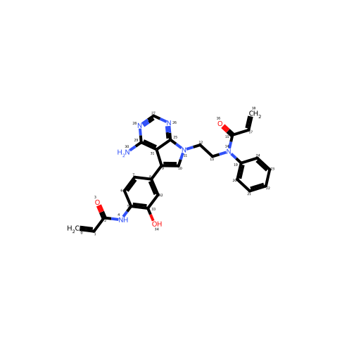 C=CC(=O)Nc1ccc(-c2cn(CCN(C(=O)C=C)c3ccccc3)c3ncnc(N)c23)cc1O